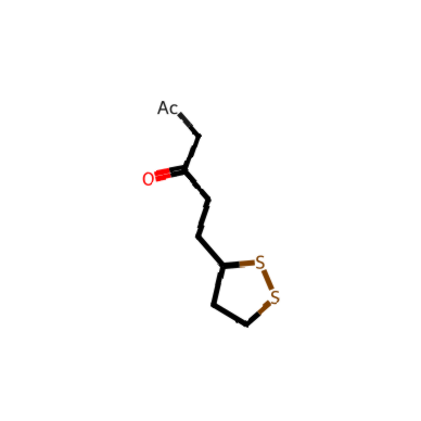 CC(=O)CC(=O)CCC1CCSS1